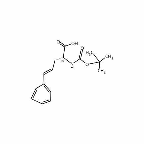 CC(C)(C)OC(=O)N[C@H](CC=Cc1ccccc1)C(=O)O